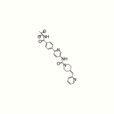 CS(=O)(=O)NC(=O)c1ccc(-c2ccc(NC(=O)N3CCC(=Cc4ccccn4)CC3)cn2)cc1